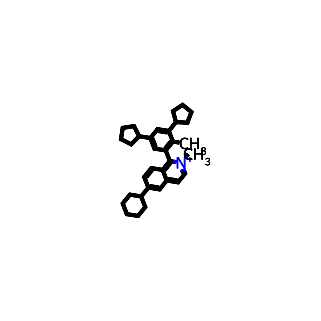 Cc1c(-c2c3ccc(C4CCCCC4)cc3cc[n+]2C)cc(C2CCCC2)cc1C1CCCC1